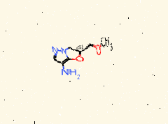 COC[C@@H]1Cn2ncc(N)c2O1